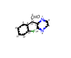 O=C[C@H](c1cnccn1)c1ccccc1F